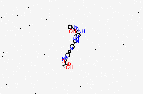 CC(C)C(C(=O)O)c1cc(N2CCC3(CC2)CC(N2CCC(c4cnc(N5CCc6[nH]c7nnc(-c8ccccc8O)cc7c6[C@@H]5C)nc4)CC2)C3)no1